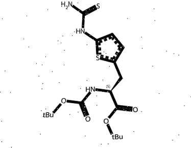 CC(C)(C)OC(=O)N[C@@H](Cc1ccc(NC(N)=S)s1)C(=O)OC(C)(C)C